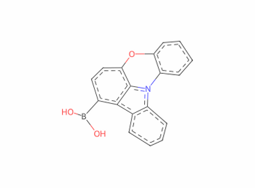 OB(O)c1ccc2c3c1c1ccccc1n3-c1ccccc1O2